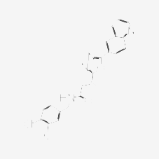 O=C(CSc1nnc(-c2ccc3ncccc3c2)o1)NCc1ccc(Cl)c(Cl)c1